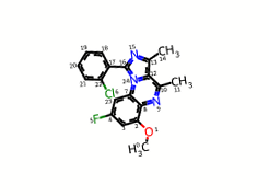 COc1cc(F)cc2c1nc(C)c1c(C)nc(-c3ccccc3Cl)n12